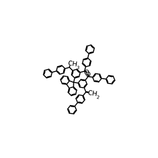 C=C(c1ccc(-c2ccccc2)cc1)c1cc(C(=O)c2ccc(-c3ccccc3)cc2)cc(C2(c3cc(C(=O)c4ccc(-c5ccccc5)cc4)cc(C(C)c4ccc(-c5ccccc5)cc4)c3)c3ccccc3-c3ccccc32)c1